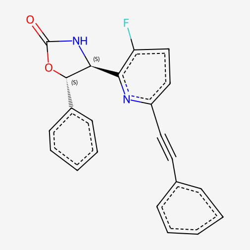 O=C1N[C@@H](c2nc(C#Cc3ccccc3)ccc2F)[C@H](c2ccccc2)O1